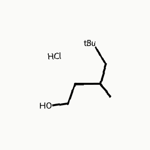 CC(CCO)CC(C)(C)C.Cl